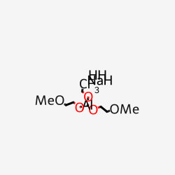 COCC[O][Al]([O]CCOC)[O]CC(F)(F)F.[HH].[NaH]